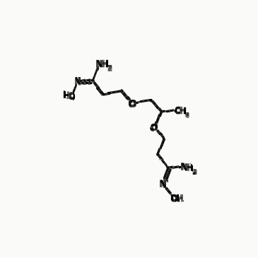 CC(COCC/C(N)=N\O)OCC/C(N)=N/O